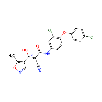 Cc1oncc1/C(O)=C(\C#N)C(=O)Nc1ccc(Oc2ccc(Cl)cc2)c(Cl)c1